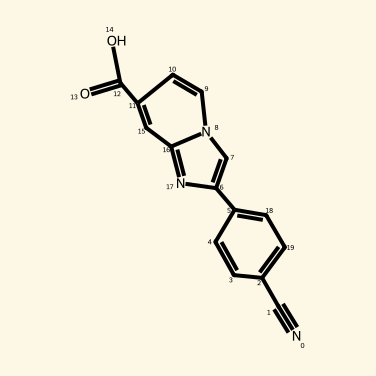 N#Cc1ccc(-c2cn3ccc(C(=O)O)cc3n2)cc1